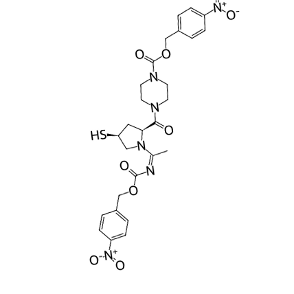 CC(=NC(=O)OCc1ccc([N+](=O)[O-])cc1)N1C[C@@H](S)C[C@H]1C(=O)N1CCN(C(=O)OCc2ccc([N+](=O)[O-])cc2)CC1